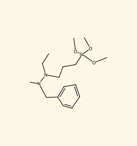 CCN(CCC[Si](OC)(OC)OC)N(C)Cc1ccccc1